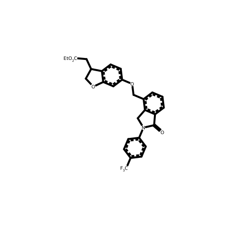 CCOC(=O)CC1COc2cc(OCc3cccc4c3CN(c3ccc(C(F)(F)F)cc3)C4=O)ccc21